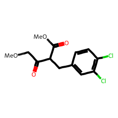 COCC(=O)C(Cc1ccc(Cl)c(Cl)c1)C(=O)OC